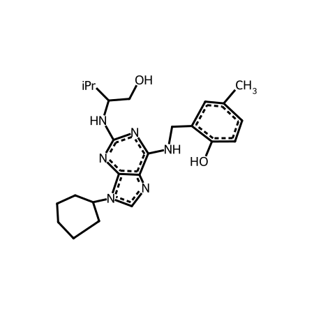 Cc1ccc(O)c(CNc2nc(NC(CO)C(C)C)nc3c2ncn3C2CCCCC2)c1